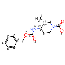 C[C@@H]1CN(C(=O)O)CC[C@@H]1NC(=O)OCc1ccccc1